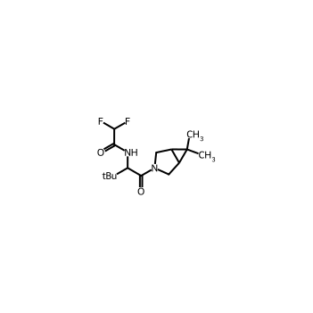 CC(C)(C)C(NC(=O)C(F)F)C(=O)N1CC2C(C1)C2(C)C